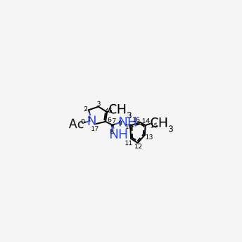 CC(=O)N1CCC(C)=C(C(=N)Nc2cccc(C)c2)C1